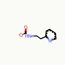 [O]C(=O)NCCc1ccccn1